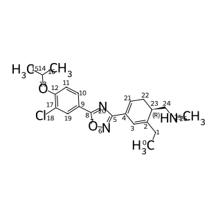 CCC1=CC(c2noc(-c3ccc(OC(C)C)c(Cl)c3)n2)=CC[C@H]1CNC